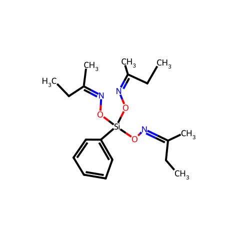 CCC(C)=NO[Si](ON=C(C)CC)(ON=C(C)CC)c1ccccc1